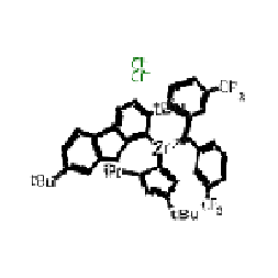 CC(C)C1C=C(C(C)(C)C)C=[C]1[Zr+2](=[C](c1cccc(C(F)(F)F)c1)c1cccc(C(F)(F)F)c1)[c]1c(C(C)(C)C)ccc2c1Cc1cc(C(C)(C)C)ccc1-2.[Cl-].[Cl-]